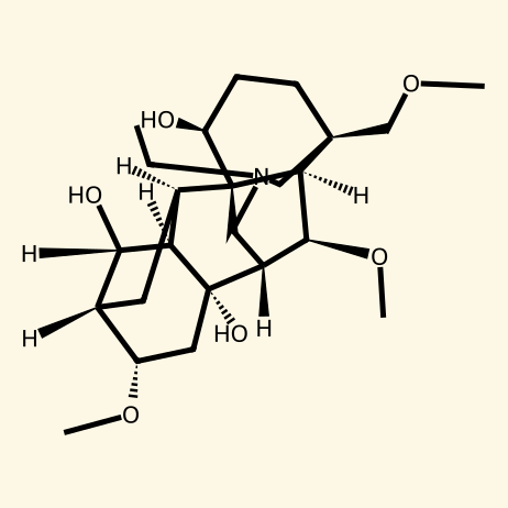 CCN1C[C@]2(COC)CC[C@H](O)[C@]34C1[C@H]([C@H](OC)[C@H]23)[C@@]1(O)C[C@H](OC)[C@H]2C[C@@H]4[C@@H]1[C@H]2O